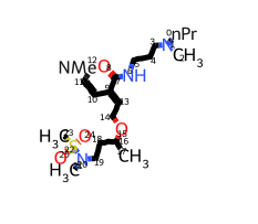 CCCN(C)CCCNC(=O)C(/C=C\NC)=C/COC(C)CCN(C)S(C)(=O)=O